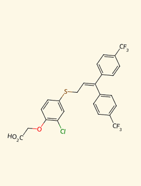 O=C(O)COc1ccc(SCC=C(c2ccc(C(F)(F)F)cc2)c2ccc(C(F)(F)F)cc2)cc1Cl